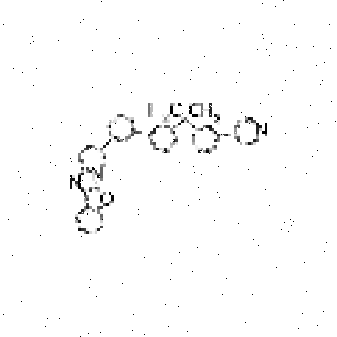 CC1(C)c2cc(-c3ccncc3)ccc2-c2ccc(-c3cccc(-c4ccc5nc6c7ccccc7oc6n5c4)c3)cc21